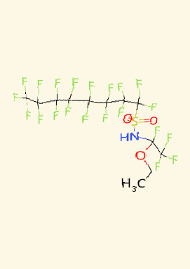 CCOC(F)(NS(=O)(=O)C(F)(F)C(F)(F)C(F)(F)C(F)(F)C(F)(F)C(F)(F)C(F)(F)C(F)(F)F)C(F)(F)F